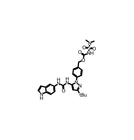 CN(C)S(=O)(=O)NC(=O)OCc1ccc(-n2nc(C(C)(C)C)cc2NC(=O)Nc2ccc3[nH]ccc3c2)cc1